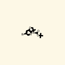 CC(C)(C)OC(=O)NC1(C)COc2cc(Br)cnc21